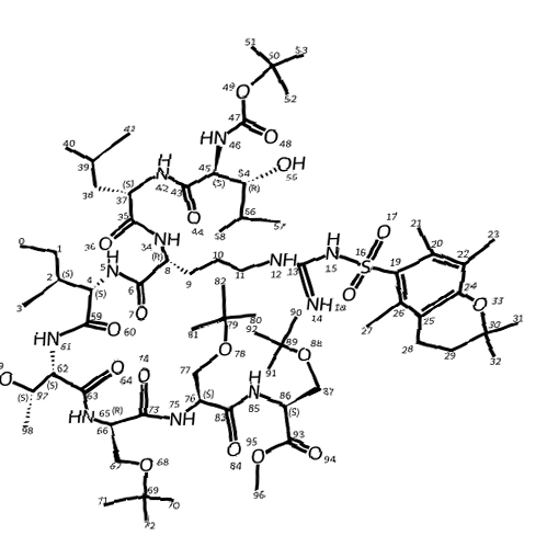 CC[C@H](C)[C@H](NC(=O)[C@@H](CCCNC(=N)NS(=O)(=O)c1c(C)c(C)c2c(c1C)CCC(C)(C)O2)NC(=O)[C@H](CC(C)C)NC(=O)[C@@H](NC(=O)OC(C)(C)C)[C@H](O)C(C)C)C(=O)N[C@H](C(=O)N[C@H](COC(C)(C)C)C(=O)N[C@@H](COC(C)(C)C)C(=O)N[C@@H](COC(C)(C)C)C(=O)OC)[C@H](C)O